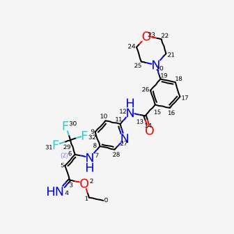 CCOC(=N)/C=C(\Nc1ccc(NC(=O)c2cccc(N3CCOCC3)c2)nc1)C(F)(F)F